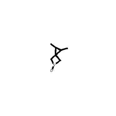 CC1C(C)C12C[S+]([O-])C2